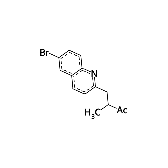 CC(=O)C(C)Cc1ccc2cc(Br)ccc2n1